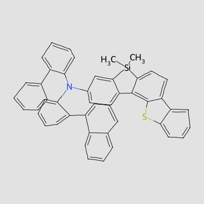 C[Si]1(C)c2cc(N(c3ccccc3-c3ccccc3)c3ccccc3-c3cccc4ccccc34)ccc2-c2c1ccc1c2sc2ccccc21